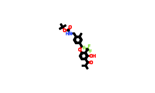 Cc1cc(COc2ccc(C(=O)C(C)C)c(O)c2C(F)(F)F)ccc1CNC(=O)OC(C)(C)C